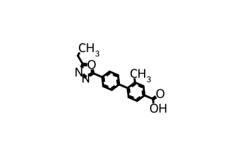 CCc1nnc(-c2ccc(-c3ccc(C(=O)O)cc3C)cc2)o1